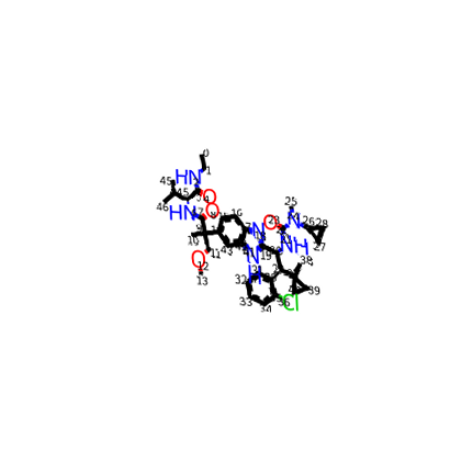 CCNC(=O)[C@H](NC(=O)C(C)(COC)c1ccc2nc([C@@H](NC(=O)N(C)C3CC3)[C@H](c3ccccc3Cl)C3(C)CC3)[nH]c2c1)C(C)C